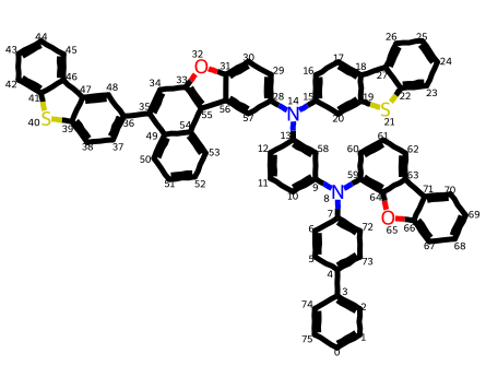 c1ccc(-c2ccc(N(c3cccc(N(c4ccc5c(c4)sc4ccccc45)c4ccc5oc6cc(-c7ccc8sc9ccccc9c8c7)c7ccccc7c6c5c4)c3)c3cccc4c3oc3ccccc34)cc2)cc1